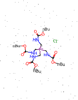 CCCCOC(=O)NC[P+](CNC(=O)OCCCC)(CNC(=O)OCCCC)CNC(=O)OCCCC.[Cl-]